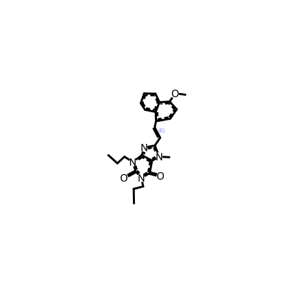 CCCn1c(=O)c2c(nc(/C=C/c3ccc(OC)c4ccccc34)n2C)n(CCC)c1=O